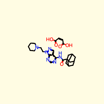 O=C(Nc1ncnc2c1cnn2CCN1CCCCC1)C12CC3CC(CC(C3)C1)C2.O=C(O)/C=C\C(=O)O